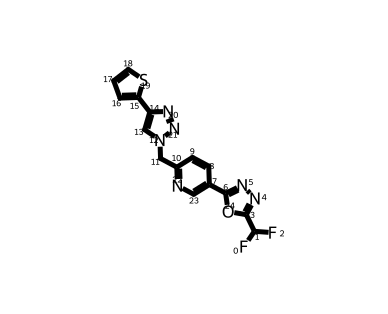 FC(F)c1nnc(-c2ccc(Cn3cc(-c4cccs4)nn3)nc2)o1